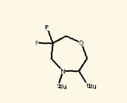 CC(C)(C)C1COCC(F)(F)CN1C(C)(C)C